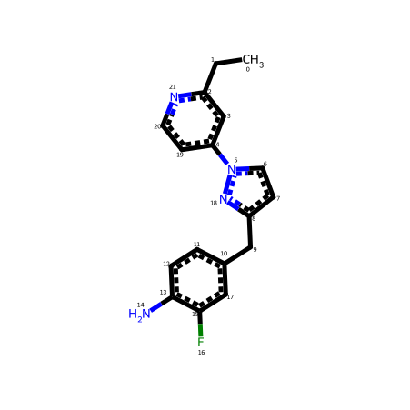 CCc1cc(-n2ccc(Cc3ccc(N)c(F)c3)n2)ccn1